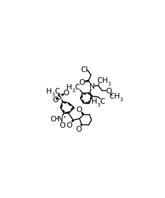 CCc1cccc(C)c1N(C(=O)CCl)[C@@H](C)COC.CS(=O)(=O)c1ccc(C(=O)C2C(=O)CCCC2=O)c([N+](=O)[O-])c1